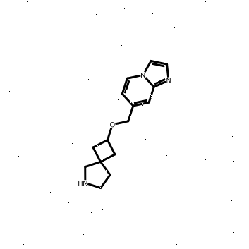 c1cn2ccc(COC3CC4(CCNC4)C3)cc2n1